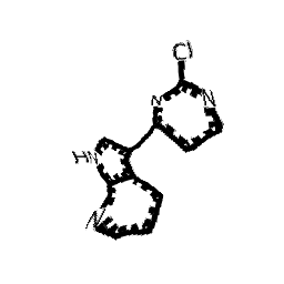 Clc1nccc(-c2c[nH]c3ncccc23)n1